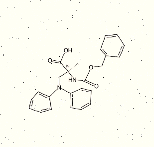 C[C@@](CN(c1ccccc1)c1ccccc1)(NC(=O)OCc1ccccc1)C(=O)O